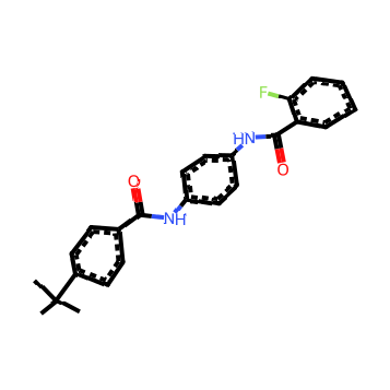 CC(C)(C)c1ccc(C(=O)Nc2ccc(NC(=O)c3ccccc3F)cc2)cc1